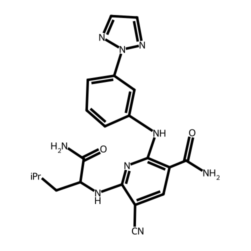 CC(C)CC(Nc1nc(Nc2cccc(-n3nccn3)c2)c(C(N)=O)cc1C#N)C(N)=O